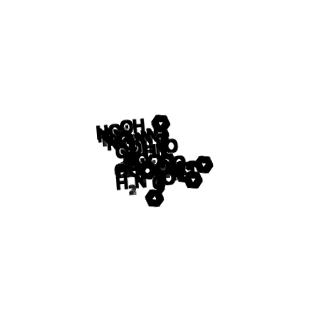 [N-]=[N+]=NC[C@@H]1O[C@H](O[C@H]2[C@@H](O)[C@H](O[C@@H]3[C@@H](O)[C@H](N)C[C@H](NC(=O)OCc4ccccc4)[C@H]3O[C@H]3O[C@H](CN(Cc4ccccc4)C(=O)OCc4ccccc4)CC[C@H]3NC(=O)OCc3ccccc3)O[C@@H]2CO)[C@H](N=[N+]=[N-])[C@@H](O)[C@@H]1O